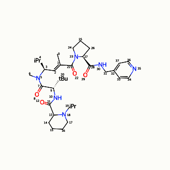 C/C(=C\[C@H](C(C)C)N(C)C(=O)[C@@H](NC(=O)C1CCCCN1C(C)C)C(C)(C)C)C(=O)N1CCC[C@H]1C(=O)NCc1ccncc1